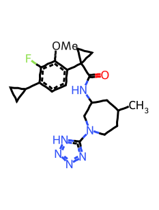 COc1c(C2(C(=O)NC3CC(C)CCN(c4nnn[nH]4)C3)CC2)ccc(C2CC2)c1F